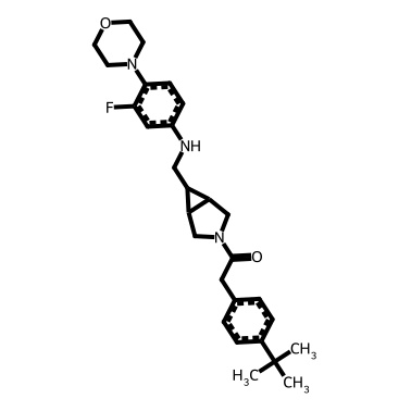 CC(C)(C)c1ccc(CC(=O)N2CC3C(CNc4ccc(N5CCOCC5)c(F)c4)C3C2)cc1